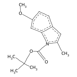 COc1ccc2cc(C)n(C(=O)OC(C)(C)C)c2c1